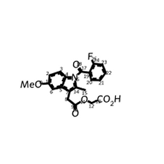 COc1ccc2c(c1)c(CC(=O)OCC(=O)O)c(C)n2C(=O)c1ccccc1F